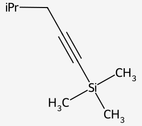 CC(C)CC#C[Si](C)(C)C